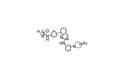 CC(=O)N1CCN(c2cccc(Nc3ncc4cccc(-c5ccc(NS(C)(=O)=O)cc5)c4n3)c2)CC1